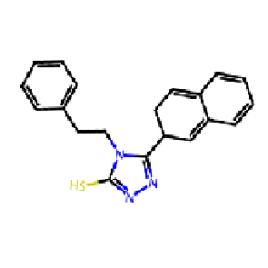 Sc1nnc(C2C=c3ccccc3=CC2)n1CCc1ccccc1